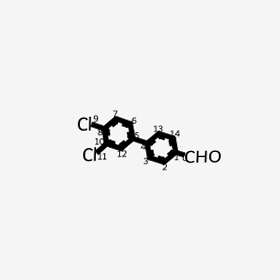 O=Cc1ccc(-c2ccc(Cl)c(Cl)c2)cc1